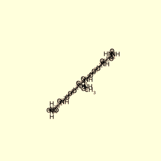 CC(=O)Nc1cc(C(=O)NCCCOCCOCCOCCCNC(=O)CCCCC2OCC3NC(=O)NC32)cc(C(=O)NCCCOCCOCCOCCCNC(=O)CCCCC2OCC3NC(=O)NC32)c1